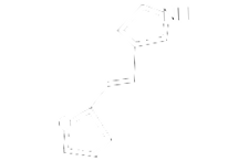 C(=Cc1ccco1)c1cc[nH]c1